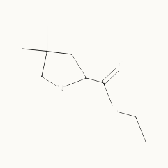 CCOC(=O)C1CC(C)(C)CN1